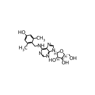 Cc1cc(O)cc(C)c1CNc1ncnc2c1ncn2[C@@H]1O[C@H](CO)[C@@H](O)[C@H]1O